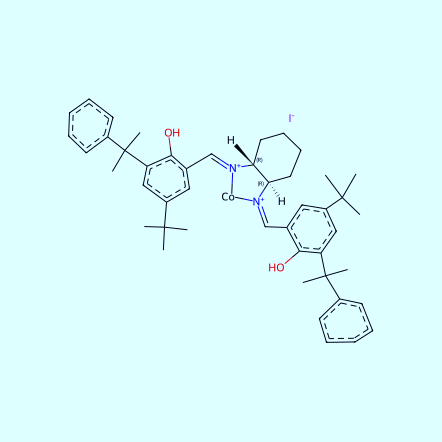 CC(C)(C)c1cc(C=[N+]2[Co][N+](=Cc3cc(C(C)(C)C)cc(C(C)(C)c4ccccc4)c3O)[C@@H]3CCCC[C@H]32)c(O)c(C(C)(C)c2ccccc2)c1.[I-]